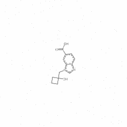 O=C(O)c1ccc2ncn(CC3(O)CCC3)c2c1